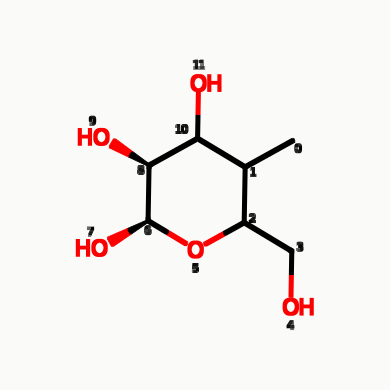 CC1C(CO)O[C@@H](O)[C@@H](O)C1O